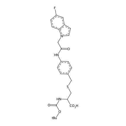 CC(C)(C)OC(=O)NC(CSCc1ccc(NC(=O)Cn2ccc3cc(F)ccc32)cc1)C(=O)O